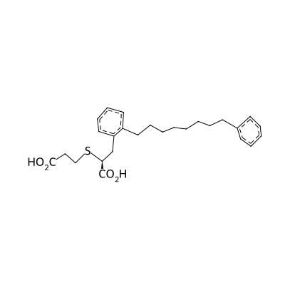 O=C(O)CCS[C@@H](Cc1ccccc1CCCCCCCCc1ccccc1)C(=O)O